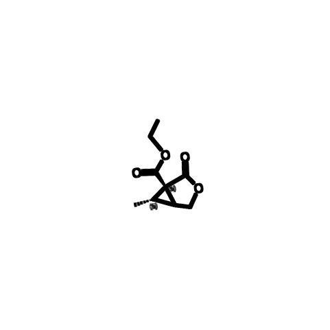 CCOC(=O)[C@@]12C(=O)OCC1[C@@H]2C